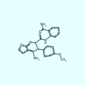 COc1ccc(N2C(N)=c3ccoc3=NC2C(=O)Nc2ccccc2C(N)=O)cc1